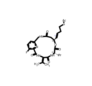 CC(=O)SCC/C=C/[C@@H]1CC(=O)NCc2ccc(F)c(n2)C(=O)NC(=C(C)C)C(=O)N[C@@H](C(C)C)C(=O)O1